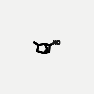 CC1CC2CC(N=O)C1C2